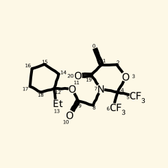 C=C1COC(C(F)(F)F)(C(F)(F)F)N(CC(=O)OC2(CC)CCCCC2)C1=O